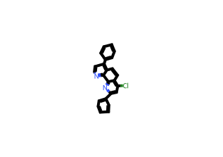 Clc1cc(-c2ccccc2)nc2c1ccc1c(-c3ccccc3)ccnc12